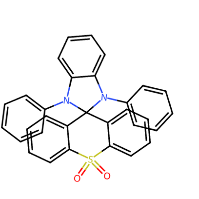 O=S1(=O)c2ccccc2C2(c3ccccc31)N(c1ccccc1)c1ccccc1N2c1ccccc1